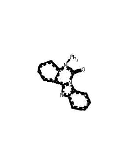 O=c1n(P)c2ccccc2c2nc3ccccc3n12